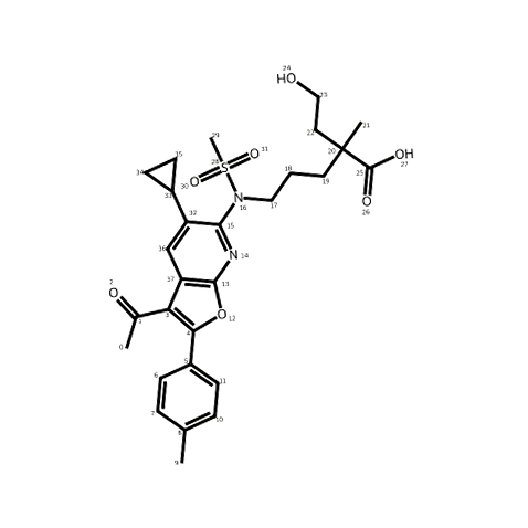 CC(=O)c1c(-c2ccc(C)cc2)oc2nc(N(CCCC(C)(CCO)C(=O)O)S(C)(=O)=O)c(C3CC3)cc12